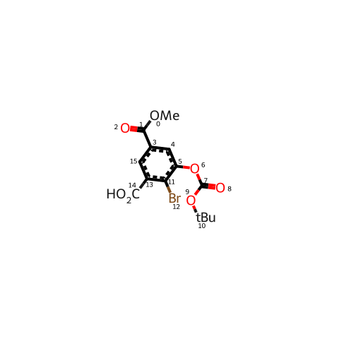 COC(=O)c1cc(OC(=O)OC(C)(C)C)c(Br)c(C(=O)O)c1